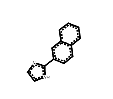 [c]1c[nH]c(-c2ccc3ccccc3c2)n1